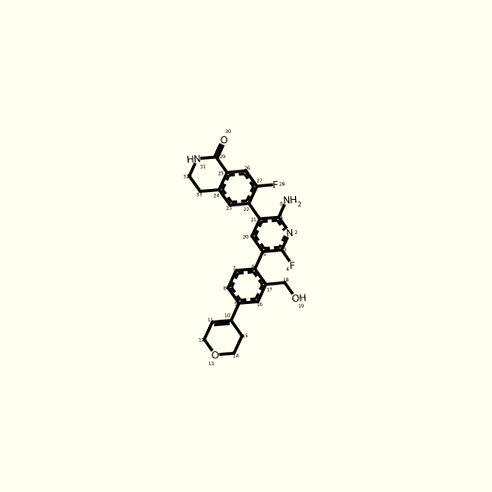 Nc1nc(F)c(-c2ccc(C3=CCOCC3)cc2CO)cc1-c1cc2c(cc1F)C(=O)NCC2